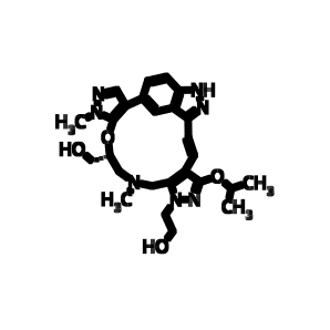 CC(C)Oc1nn(CCO)c2c1/C=C/c1n[nH]c3ccc(cc13)-c1cnn(C)c1O[C@@H](CO)CN(C)C2